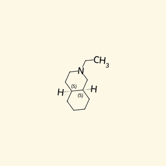 CCN1CC[C@@H]2CCCC[C@@H]2C1